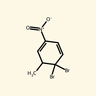 CC1C=C([N+](=O)[O-])C=CC1(Br)Br